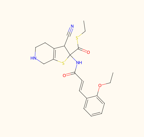 CCOc1ccccc1C=CC(=O)NC1(C(=O)SCC)SC2=C(CCNC2)C1C#N